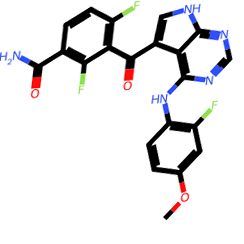 COc1ccc(Nc2ncnc3[nH]cc(C(=O)c4c(F)ccc(C(N)=O)c4F)c23)c(F)c1